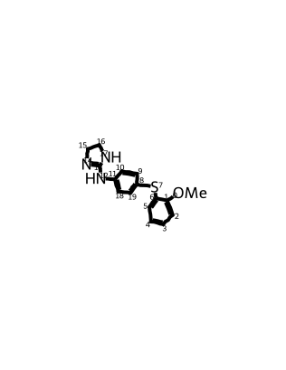 COc1ccccc1Sc1ccc(NC2=NCCN2)cc1